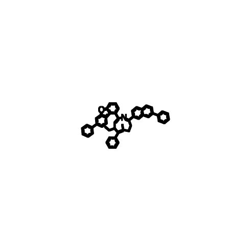 CCC1/C=C(c2cccc3oc4cc(-c5ccccc5)ccc4c23)\N=C(\c2ccc3ccc(-c4ccccc4)cc3c2)CC/C(C)=C/1c1ccccc1